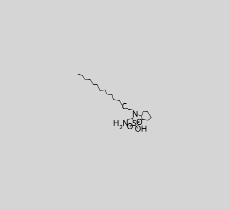 CCCCCCCCCCCCCCCCN(C1CCCCC1)C(CN)S(=O)(=O)O